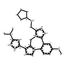 COc1ccc2c(c1)-c1nnc(COC3CCCC3)n1Cc1c(-c3noc(C(C)C)n3)ncn1-2